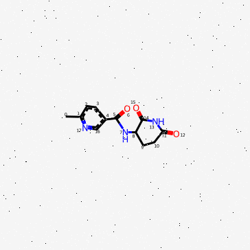 Cc1ccc(C(=O)NC2CCC(=O)NC2=O)cn1